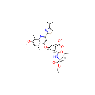 C=C[C@@H]1C[C@]1(NC(=O)[C@@H]1C[C@@H](OC2=CC(c3nc(C(C)C)cs3)=NC3=C(C)C(OC)=CC(C)C23)C[C@H]1C(=O)OC)C(=O)OCC